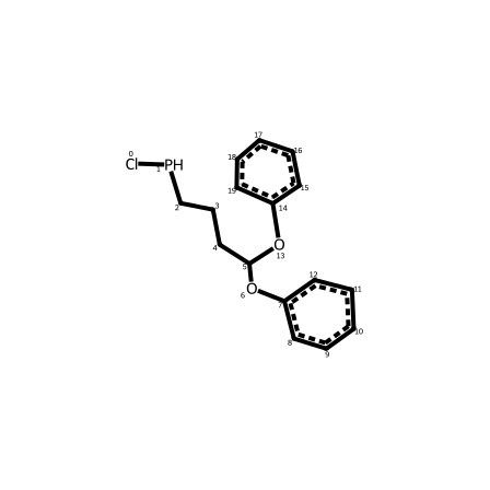 ClPCCCC(Oc1ccccc1)Oc1ccccc1